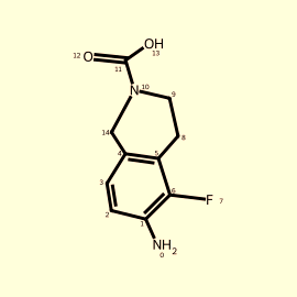 Nc1ccc2c(c1F)CCN(C(=O)O)C2